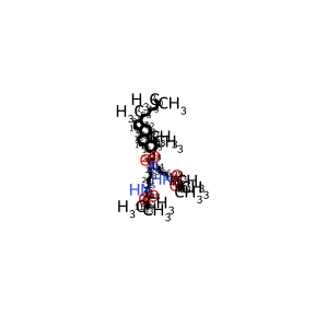 CC(C)CCC[C@@H](C)C1CCC2C3CC=C4CC(OC(=O)N(CCCCNC(=O)OC(C)(C)C)CCCNC(=O)OC(C)(C)C)CC(C)(C)C4C3CCC21